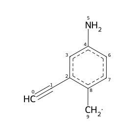 C#Cc1cc(N)ccc1[CH2]